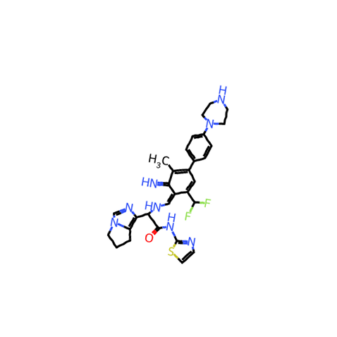 CC1=C(c2ccc(N3CCNCC3)cc2)C=C(C(F)F)/C(=C/NC(C(=O)Nc2nccs2)c2ncn3c2CCC3)C1=N